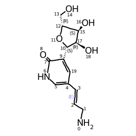 NC/C=C/c1c[nH]c(=O)c([C@@H]2O[C@H](CO)[C@@H](O)[C@H]2O)c1